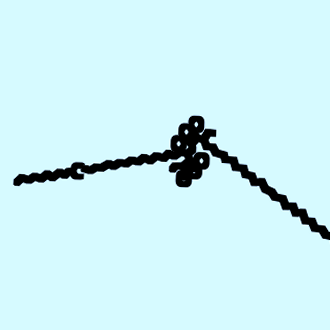 CCCCCCCCCCCCCCCCCCCCCCCCCCCCC(CC1C(=O)OC(=O)C1C(CC)CCCCCCCCCCCCCCCCCCCCCCCCCCCC)C1C(=O)OC(=O)C1CC